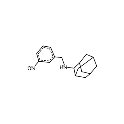 O=Nc1cccc(CNC2C3CC4CC(C3)CC2C4)c1